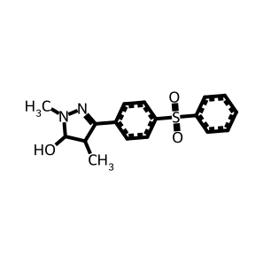 CC1C(c2ccc(S(=O)(=O)c3ccccc3)cc2)=NN(C)C1O